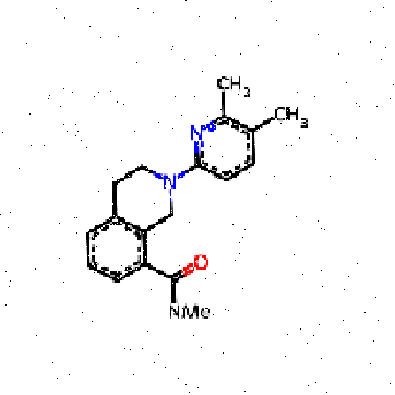 CNC(=O)c1cccc2c1CN(c1ccc(C)c(C)n1)CC2